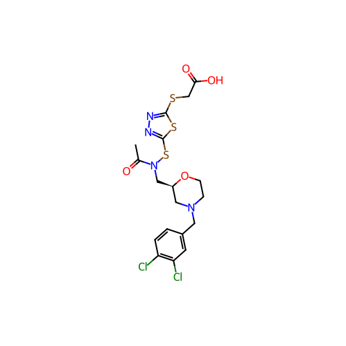 CC(=O)N(C[C@@H]1CN(Cc2ccc(Cl)c(Cl)c2)CCO1)Sc1nnc(SCC(=O)O)s1